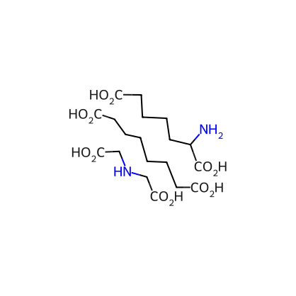 NC(CCCCC(=O)O)C(=O)O.O=C(O)CCCCCCC(=O)O.O=C(O)CNCC(=O)O